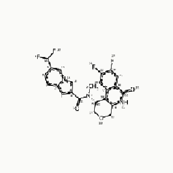 CN(C(=O)c1cc2ccc(C(F)F)cn2c1)[C@H]1COCc2[nH]c(=O)c3cc(F)c(F)cc3c21